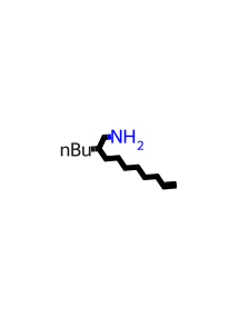 C=CCCCCCCC(CN)CCCC